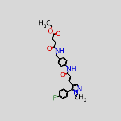 CCOC(=O)CCC(=O)NCc1ccc(NC(=O)C=Cc2cnn(C)c2-c2ccc(F)cc2)cc1